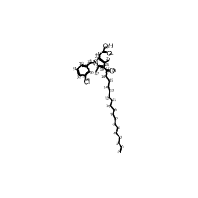 CCCCCCCCCCCCCCCCCC(=O)c1c(C)c(CC(=O)O)n(Cc2cccc(Cl)c2)c1C